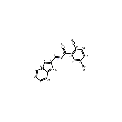 O=C(/C=C/c1cn2ccccc2n1)c1cc(Br)ccc1O